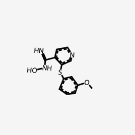 COc1cccc(Sc2cnccc2C(=N)NO)c1